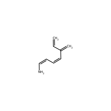 C=CC(=C)/C=C\C=C/N